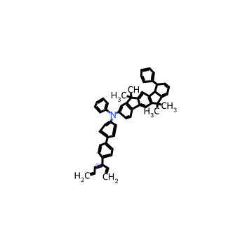 C=C/C=C(\C=C)c1ccc(-c2ccc(N(c3ccccc3)c3ccc4c(c3)C(C)(C)c3cc5c(cc3-4)C(C)(C)C3=CC=CC(c4ccccc4)C35)cc2)cc1